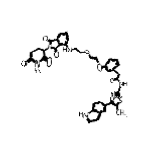 Cc1sc(NC(=O)Cc2cccc(OCCOCCNc3cccc4c3C(=O)N(C3CCC(=O)NC3=O)C4=O)c2)nc1-c1ccc2c(c1)CCN2